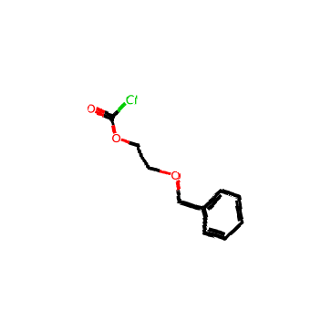 O=C(Cl)OCCOCc1ccccc1